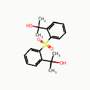 CC(C)(O)c1ccccc1S(=O)(=O)c1ccccc1C(C)(C)O